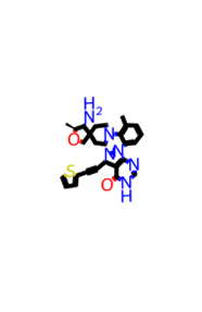 Cc1cccc(-n2nc(C#Cc3cccs3)c3c(=O)[nH]cnc32)c1N1CCC2(CC1)CO[C@@H](C)[C@H]2N